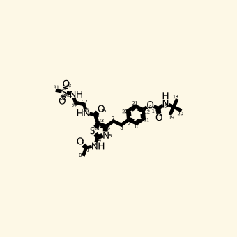 CC(=O)Nc1nc(CCc2ccc(OC(=O)NC(C)(C)C)cc2)c(C(=O)NCCNS(C)(=O)=O)s1